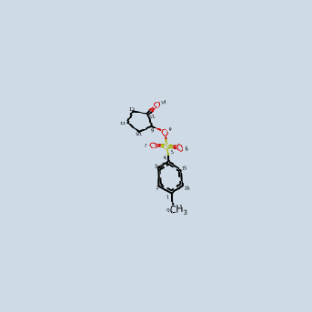 Cc1ccc(S(=O)(=O)OC2CCCC2=O)cc1